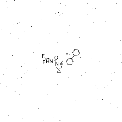 O=C(NCC(F)F)N1CC2(CC2)C[C@@H]1Cc1cccc(-c2ccccc2)c1F